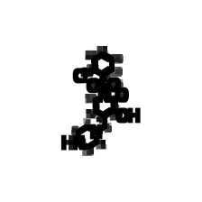 O=c1c(O)c(CN2CCNCC2)ccn1S(=O)(=O)c1ccccc1Cl